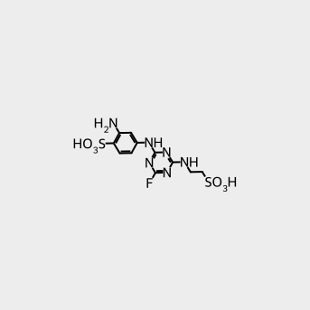 Nc1cc(Nc2nc(F)nc(NCCS(=O)(=O)O)n2)ccc1S(=O)(=O)O